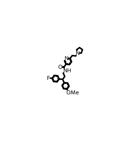 COc1ccc(C(CCNC(=O)c2ccc(CCN3CCCC3)nc2)c2ccc(F)cc2)cc1